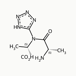 C[C@H](N)C(=O)N(c1nnn[nH]1)[C@@H](C)C(=O)O